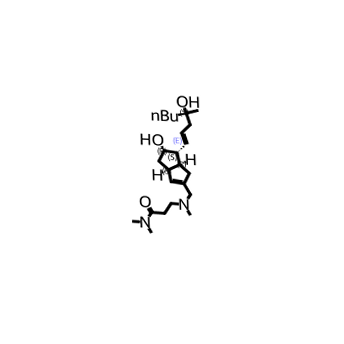 CCCC[C@](C)(O)C/C=C/[C@@H]1[C@H]2CC(CN(C)CCC(=O)N(C)C)=C[C@H]2C[C@H]1O